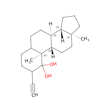 C#CC1CCC2CC[C@H]3[C@@H]4CCC[C@@]4(C)CC[C@@H]3[C@@]2(C)C1(O)O